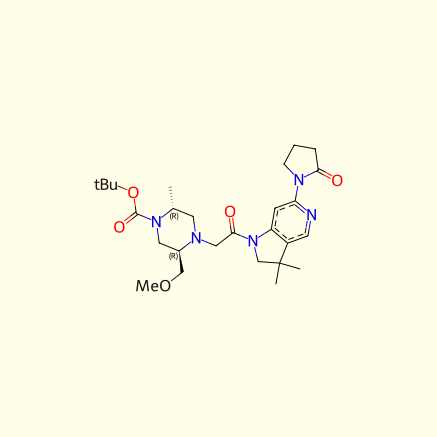 COC[C@H]1CN(C(=O)OC(C)(C)C)[C@H](C)CN1CC(=O)N1CC(C)(C)c2cnc(N3CCCC3=O)cc21